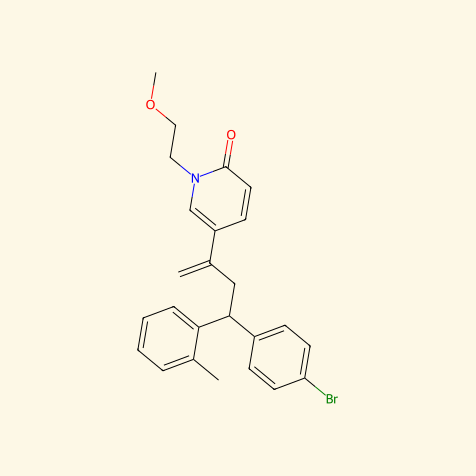 C=C(CC(c1ccc(Br)cc1)c1ccccc1C)c1ccc(=O)n(CCOC)c1